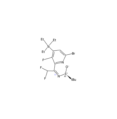 CC[Si](CC)(CC)c1cc(Br)nc(/C(=N\[S@@+]([O-])C(C)(C)C)C(F)F)c1F